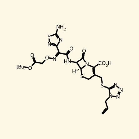 C=CCn1nnnc1SCC1=C(C(=O)O)N2C(=O)C(NC(=O)C(=NOCC(=O)OC(C)(C)C)c3nsc(N)n3)[C@@H]2SC1